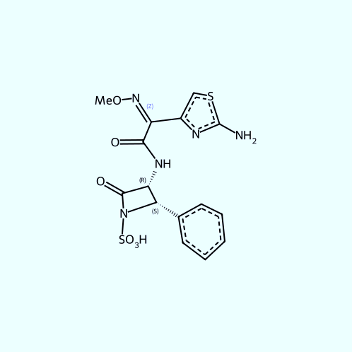 CO/N=C(\C(=O)N[C@H]1C(=O)N(S(=O)(=O)O)[C@H]1c1ccccc1)c1csc(N)n1